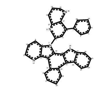 c1ccc(-c2cc(-n3c4cccnc4c4c5ccccc5c5c6ccccc6sc5c43)nc3cccnc23)cc1